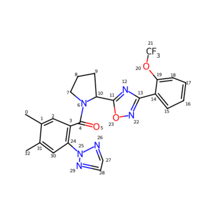 Cc1cc(C(=O)N2CCCC2c2nc(-c3ccccc3OC(F)(F)F)no2)c(-n2nccn2)cc1C